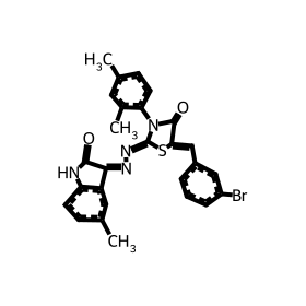 Cc1ccc(N2C(=O)C(=Cc3cccc(Br)c3)SC2=NN=C2C(=O)Nc3ccc(C)cc32)c(C)c1